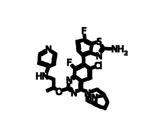 CC(CNc1ccncc1)Oc1nc(N2CC3CCC(C2)N3)c2cc(Cl)c(-c3ccc(F)c4sc(N)nc34)c(F)c2n1